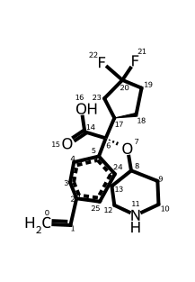 C=Cc1ccc([C@@](OC2CCNCC2)(C(=O)O)[C@@H]2CCC(F)(F)C2)cc1